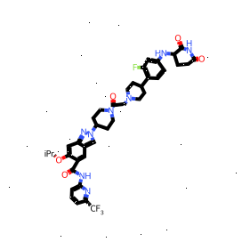 CC(C)Oc1cc2nn(C3CCN(C(=O)CN4CCC(c5ccc(NC6CCC(=O)NC6=O)cc5F)CC4)CC3)cc2cc1C(=O)Nc1cccc(C(F)(F)F)n1